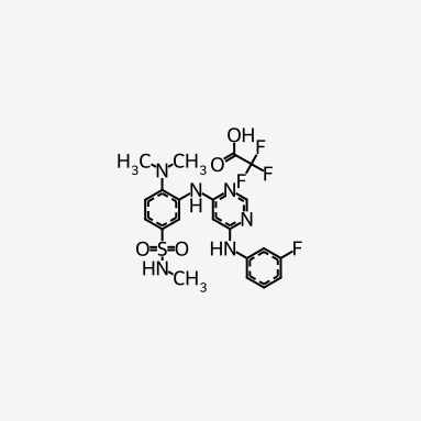 CNS(=O)(=O)c1ccc(N(C)C)c(Nc2cc(Nc3cccc(F)c3)ncn2)c1.O=C(O)C(F)(F)F